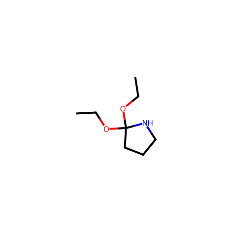 CCOC1(OCC)CCCN1